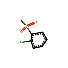 CS(=O)(=O)c1c[c]ccc1F